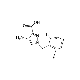 Nc1cn(Cc2c(F)cccc2F)nc1C(=O)O